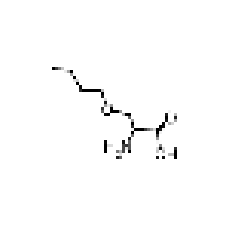 CCCCOCC(N)C(=O)O